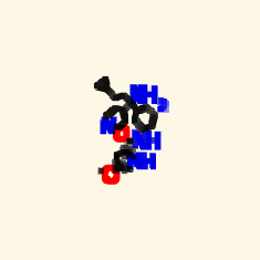 CO[C@H]1CN[C@@H](C(=O)Nc2cccc(C(N)(CCC3CC3)c3ccncc3)c2)C1